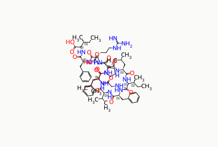 CC[C@H](C)[C@H](NC(=O)[C@H](Cc1ccccc1)NC(=O)[C@H](CCCNC(=N)N)NC(=O)[C@@H]1CCCN1C(=O)[C@H](Cc1ccccc1)NC(=O)[C@@H](NC(=O)[C@H](Cc1ccccc1)NC(=O)[C@@H](NC(=O)[C@H](CC(C)C)NC(=O)[C@H](CCC(=O)O)NC(=O)[C@H](CC(C)C)NC(=O)CN)[C@@H](C)CC)C(C)C)C(=O)O